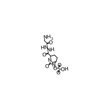 NCC(=O)NNC(=O)C1CCC2CN1C(=O)N2OS(=O)(=O)O